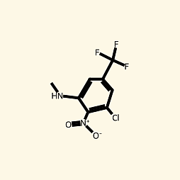 CNc1cc(C(F)(F)F)cc(Cl)c1[N+](=O)[O-]